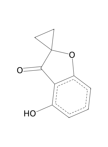 O=C1c2c(O)cccc2OC12CC2